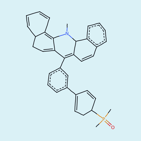 CN1C2=C3C=CC=CC3CC=C2C(c2cccc(C3=CCC(P(C)(C)=O)C=C3)c2)=C2C=Cc3ccccc3C21